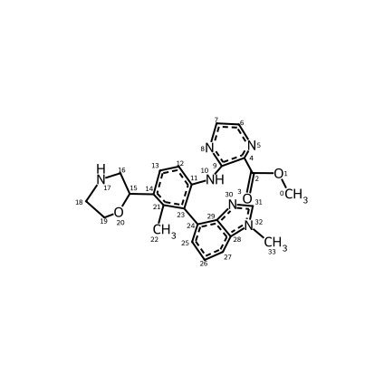 COC(=O)c1nccnc1Nc1ccc(C2CNCCO2)c(C)c1-c1cccc2c1ncn2C